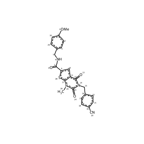 COc1ccc(CNC(=O)c2cc3c(=O)n(Cc4ccc(C#N)cc4)c(=O)n(C)c3s2)cc1